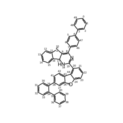 c1ccc(-c2ccc(C3=C4Sc5ccccc5C4NC(c4cccc5oc6cc(-c7ccccc7-c7ccccc7)ccc6c45)=N3)cc2)cc1